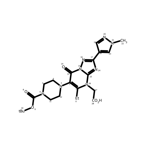 CCc1c(N2CCN(C(=O)OC(C)(C)C)CC2)c(=O)n2nc(-c3cnn(C)c3)nc2n1CC(=O)O